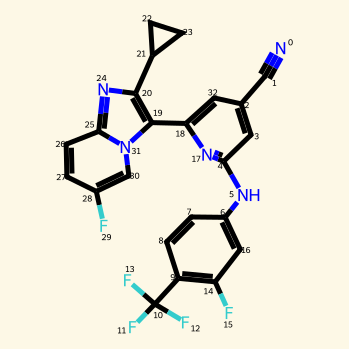 N#Cc1cc(Nc2ccc(C(F)(F)F)c(F)c2)nc(-c2c(C3CC3)nc3ccc(F)cn23)c1